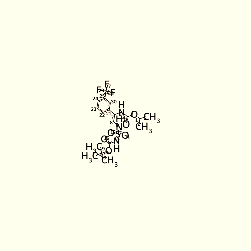 CC(C)OC(=O)NC(CNS(=O)(=O)NC(=O)OC(C)(C)C)c1cccc(C(F)(F)F)c1